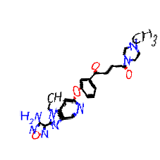 CCn1c(-c2nonc2N)nc2cnc(Oc3cccc(C(=O)CCC(=O)N4CCN(C)CC4)c3)cc21